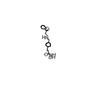 O=C(/C=C/c1ccc(CNCCc2coc3ccccc23)cc1)NO